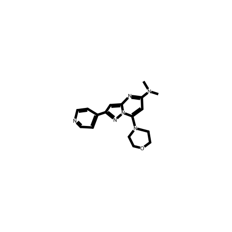 CN(C)c1cc(N2CCOCC2)n2nc(-c3ccncc3)cc2n1